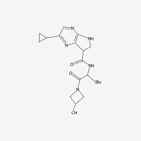 CC(C)(C)C(NC(=O)C1CNc2ncc(C3CC3)nc21)C(=O)N1CC(C#N)C1